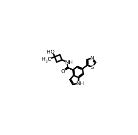 CC1(O)CC(NC(=O)c2cc(-c3cncs3)cc3[nH]ccc23)C1